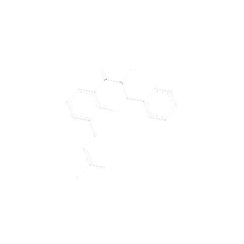 CC(C)=CCc1cccc2c1OC(c1ccccc1)C(=O)C2=O